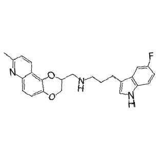 Cc1ccc2c3c(ccc2n1)OCC(CNCCCc1c[nH]c2ccc(F)cc12)O3